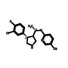 C[C@H](Oc1ccc(C#N)cn1)C1CNC[C@@H]1c1ccc(F)c(Cl)c1